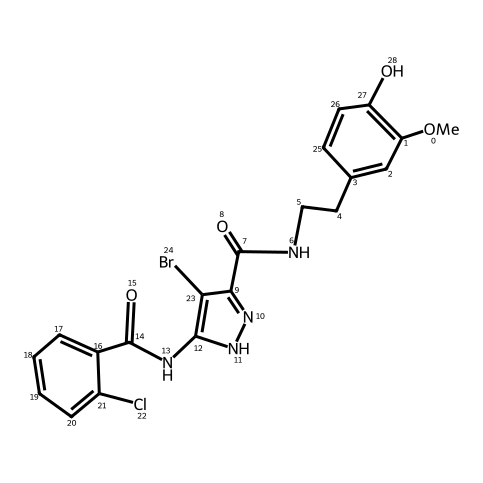 COc1cc(CCNC(=O)c2n[nH]c(NC(=O)c3ccccc3Cl)c2Br)ccc1O